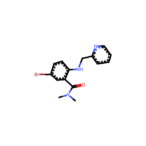 CN(C)C(=O)c1cc(Br)ccc1NCc1ccccn1